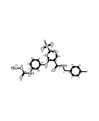 Cc1ccc(CNC(=O)c2cnc(S(C)(=O)=O)nc2Oc2cccc(NC(=O)OC(C)(C)C)c2)cc1